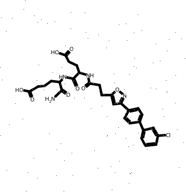 NC(=O)C(CCCC(=O)O)NC(=O)C(CCC(=O)O)NC(=O)CCc1cc(-c2ccc(-c3cccc(Cl)c3)cc2)no1